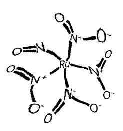 O=[N][Ru]([N+](=O)[O-])([N+](=O)[O-])([N+](=O)[O-])[N+](=O)[O-]